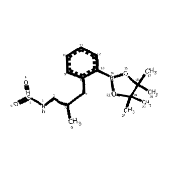 CC(CN[SH](=O)=O)Cc1ccccc1B1OC(C)(C)C(C)(C)O1